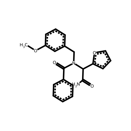 COc1cccc(CN(C(=O)c2ccccc2)C(C(N)=O)c2ccco2)c1